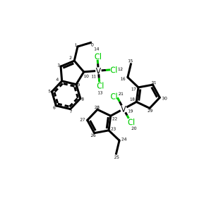 CCC1=Cc2ccccc2[CH]1[V]([Cl])([Cl])[Cl].CCC1=[C]([V]([Cl])([Cl])[C]2=C(CC)C=CC2)CC=C1